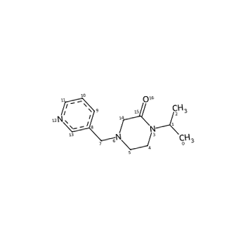 CC(C)N1CCN(Cc2cccnc2)CC1=O